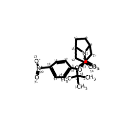 CC(C)(C)OC(=O)N1C2CCC1CC(C)(Oc1ccc([N+](=O)[O-])cc1)C2